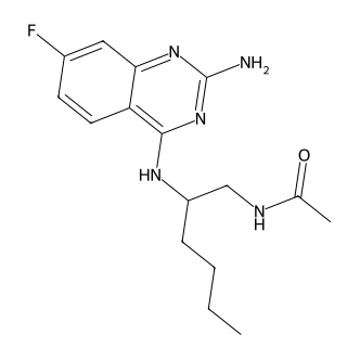 CCCCC(CNC(C)=O)Nc1nc(N)nc2cc(F)ccc12